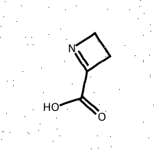 O=C(O)C1=NCC1